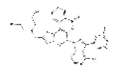 CC(c1oc(=O)c2ccccc2c1-c1ccc(CN(CCO)CCO)s1)n1nc(-c2cc(O)cc(F)c2)c2c(N)ncnc21